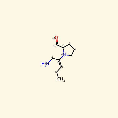 CC/C=C(\CN)N1CCCC1C=O